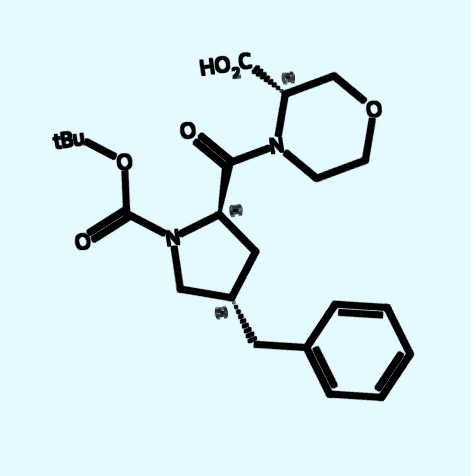 CC(C)(C)OC(=O)N1C[C@@H](Cc2ccccc2)C[C@@H]1C(=O)N1CCOC[C@H]1C(=O)O